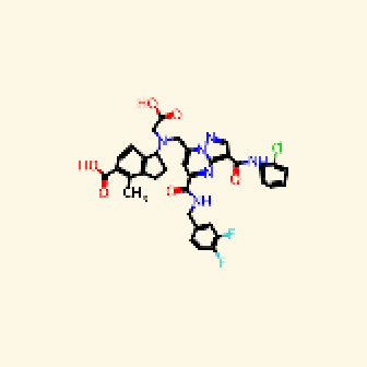 Cc1c(C(=O)O)ccc2c1CC[C@@H]2N(CC(=O)O)Cc1cc(C(=O)NCc2ccc(F)c(F)c2)nc2c(C(=O)Nc3ccccc3Cl)cnn12